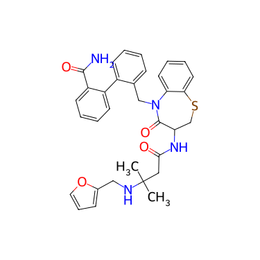 CC(C)(CC(=O)NC1CSc2ccccc2N(Cc2ccccc2-c2ccccc2C(N)=O)C1=O)NCc1ccco1